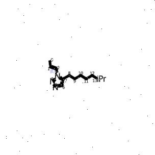 C/C=C/n1nncc1CCCCCC(C)C